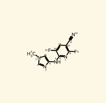 Cn1cnc(Nc2nc(F)c(C#N)cc2F)c1